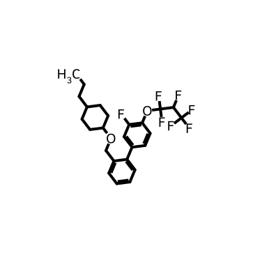 CCCC1CCC(OCc2ccccc2-c2ccc(OC(F)(F)C(F)C(F)(F)F)c(F)c2)CC1